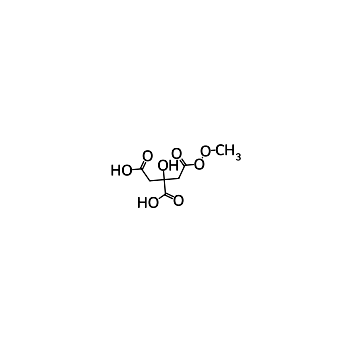 COOC(=O)CC(O)(CC(=O)O)C(=O)O